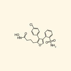 NS(=O)(=O)c1ccccc1-c1coc(CCCC(=O)NO)c1-c1ccc(Cl)cc1